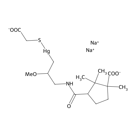 COC(CNC(=O)C1CCC(C)(C(=O)[O-])C1(C)C)[CH2][Hg][S]CC(=O)[O-].[Na+].[Na+]